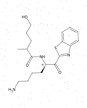 CC(CCCO)C(=O)N[C@H](CCCCN)C(=O)c1nc2ccccc2s1